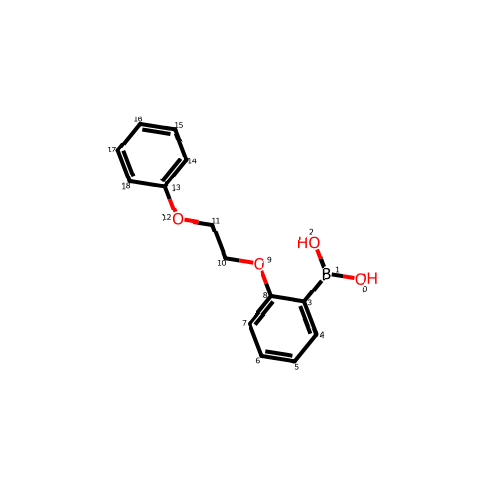 OB(O)c1ccccc1OCCOc1ccccc1